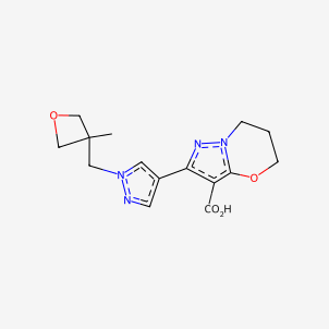 CC1(Cn2cc(-c3nn4c(c3C(=O)O)OCCC4)cn2)COC1